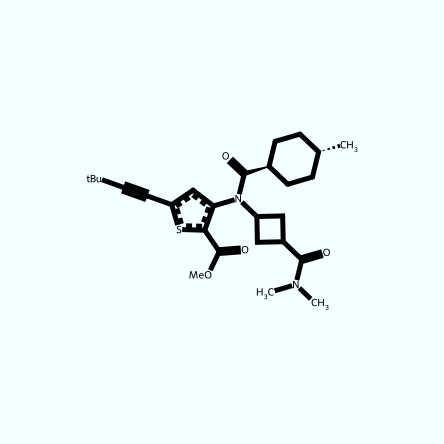 COC(=O)c1sc(C#CC(C)(C)C)cc1N(C(=O)[C@H]1CC[C@H](C)CC1)C1CC(C(=O)N(C)C)C1